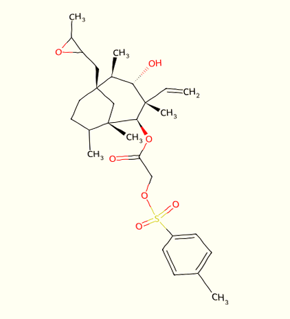 C=C[C@]1(C)[C@@H](OC(=O)COS(=O)(=O)c2ccc(C)cc2)[C@@]2(C)C[C@](CC3OC3C)(CCC2C)[C@@H](C)[C@@H]1O